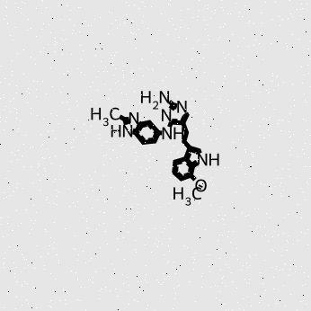 COc1cccc2c(CCc3cnc(N)nc3Nc3ccc4[nH]c(C)nc4c3)c[nH]c12